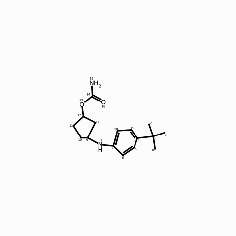 CC(C)(C)c1ccc(NC2CCC(OC(N)=O)C2)cc1